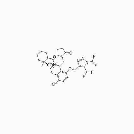 C[C@]1(C(=O)O)CCCC[C@H]1C(=O)N1CCc2c(Cl)ccc(OCc3nnn(C(F)F)c3C(F)F)c2C1CN1CCCC1=O